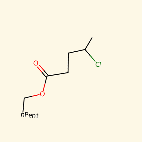 CCCCCCOC(=O)CCC(C)Cl